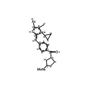 CNC1CCN(C(=O)c2ccc(/N=c3/sc(C(C)=O)c(C)n3C3CC3)cc2)C1